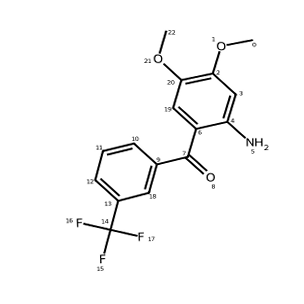 COc1cc(N)c(C(=O)c2cccc(C(F)(F)F)c2)cc1OC